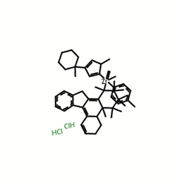 Cl.Cl.[CH2]=[Zr]([CH3])([C]1=CC(C2(C)CCCCC2)=CC1C)([c]1ccc(C)cc1)[C]1(C)C2=C3Cc4ccccc4C3=C3C=CCCC3C2(C)C(C)(C)C(C)(C)C1(C)C